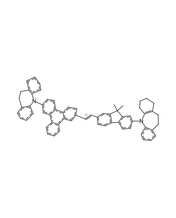 CC1(C)c2cc(/C=C/c3ccc4c5ccc(N6c7ccccc7CCc7ccccc76)cc5c5ccccc5c4c3)ccc2-c2ccc(N3C4=C(CCCC4)CCc4ccccc43)cc21